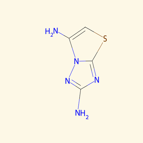 Nc1nc2scc(N)n2n1